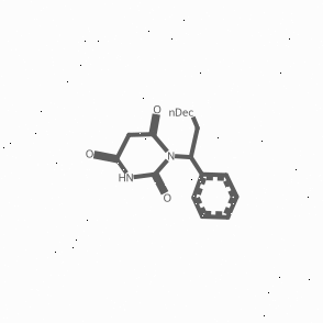 CCCCCCCCCCCC(c1ccccc1)N1C(=O)CC(=O)NC1=O